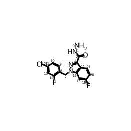 NNC(=O)c1nn(Cc2ccc(Cl)cc2F)c2cc(F)ccc12